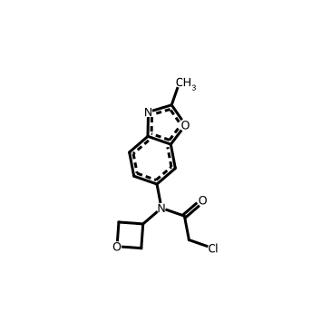 Cc1nc2ccc(N(C(=O)CCl)C3COC3)cc2o1